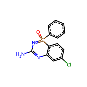 NC1=Nc2cc(Cl)ccc2S(=O)(c2ccccc2)=N1